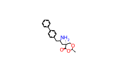 C[C@@H]1OC[C@](C)(C[C@H](N)Cc2ccc(-c3ccccc3)cc2)C(=O)O1